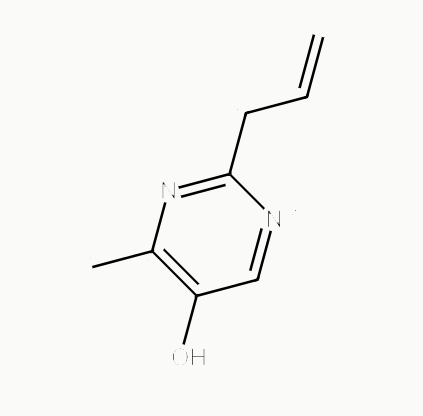 C=CCc1ncc(O)c(C)n1